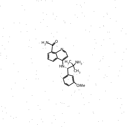 COc1cccc([C@H](Nc2ccnc3c(C(N)=O)cccc23)C(C)(C)N)c1